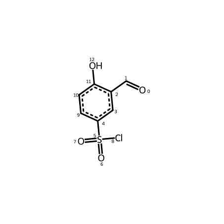 O=Cc1cc(S(=O)(=O)Cl)ccc1O